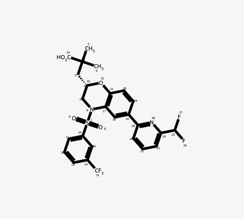 CC(C)(C[C@H]1CN(S(=O)(=O)c2cccc(C(F)(F)F)c2)c2cc(-c3cccc(C(F)F)n3)ccc2O1)C(=O)O